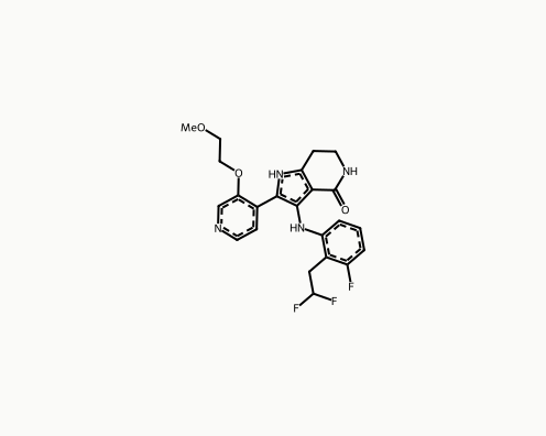 COCCOc1cnccc1-c1[nH]c2c(c1Nc1cccc(F)c1CC(F)F)C(=O)NCC2